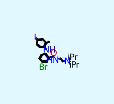 Cc1cc(I)ccc1Nc1ccc(Br)cc1C(=O)NCCN(C(C)C)C(C)C